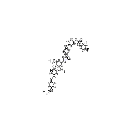 COc1ccc(COc2ccc(Oc3c(C)cc(/C=C/C(=O)N4CCN(Cc5ccc(CC(C)Oc6ccc(F)cc6)cc5)CC4)cc3C)nc2)cc1